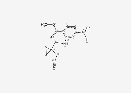 COC(=O)c1ncc([N+](=O)[O-])cc1NCC1(CC#N)CC1